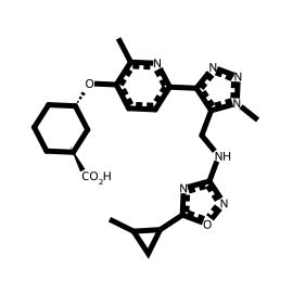 Cc1nc(-c2nnn(C)c2CNc2noc(C3CC3C)n2)ccc1O[C@H]1CCC[C@H](C(=O)O)C1